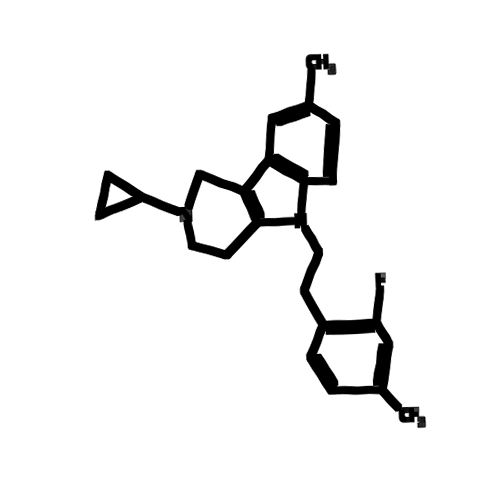 Cc1ccc2c(c1)c1c(n2CCc2ccc(C(F)(F)F)cc2F)CCN(C2CC2)C1